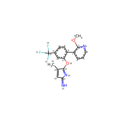 COc1ncccc1-c1ccc(C(F)(F)F)cc1OC1=NC(=N)C=C1C